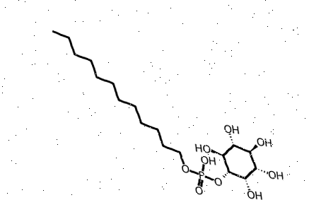 CCCCCCCCCCCCOP(=O)(O)O[C@@H]1[C@@H](O)[C@H](O)[C@@H](O)[C@H](O)[C@@H]1O